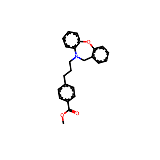 COC(=O)c1ccc(CCCN2Cc3ccccc3Oc3ccccc32)cc1